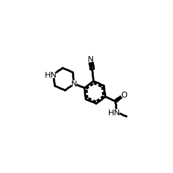 CNC(=O)c1ccc(N2CCNCC2)c(C#N)c1